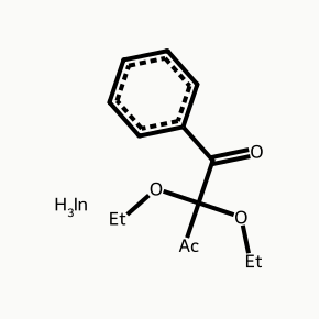 CCOC(OCC)(C(C)=O)C(=O)c1ccccc1.[InH3]